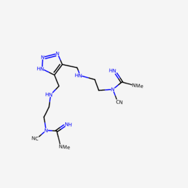 CNC(=N)N(C#N)CCNCc1nn[nH]c1CNCCN(C#N)C(=N)NC